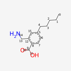 CCCCCc1ccc(C(=O)O)c(CN)c1